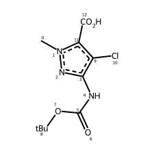 Cn1nc(NC(=O)OC(C)(C)C)c(Cl)c1C(=O)O